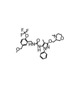 COCc1ccc(OC(F)(F)F)c(CNC(=O)Nc2c(C)c(OCC3COCCN3C)nn2-c2ccccc2)c1